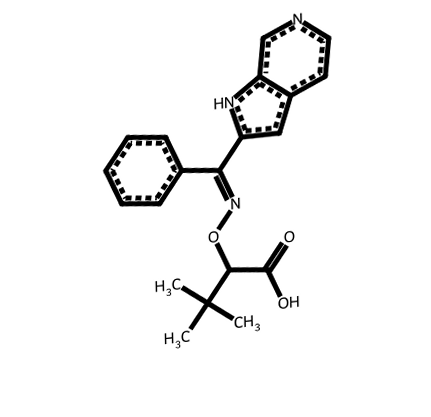 CC(C)(C)C(ON=C(c1ccccc1)c1cc2ccncc2[nH]1)C(=O)O